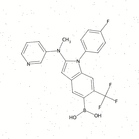 CN(c1cccnc1)c1cc2cc(B(O)O)c(C(F)(F)F)cc2n1-c1ccc(F)cc1